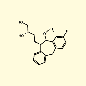 OC[C@@H](O)CC[C@@H]1c2ccccc2Cc2ccc(F)cc2[C@H]1OP